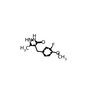 COc1ccc(Cc2c(C)[nH][nH]c2=O)cc1F